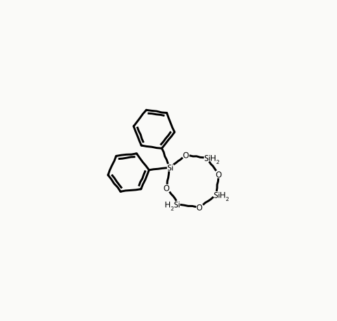 c1ccc([Si]2(c3ccccc3)O[SiH2]O[SiH2]O[SiH2]O2)cc1